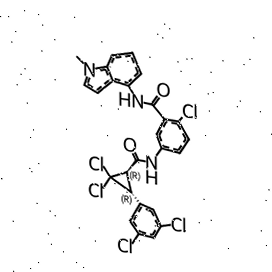 Cn1ccc2c(NC(=O)c3cc(NC(=O)[C@H]4[C@H](c5cc(Cl)cc(Cl)c5)C4(Cl)Cl)ccc3Cl)cccc21